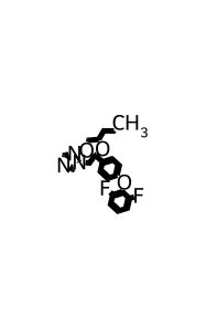 CCCC1COC(Cn2cncn2)(c2ccc(Oc3c(F)cccc3F)cc2)O1